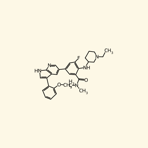 CCN1CCCC(Nc2c(F)cc(-c3cnc4[nH]cc(-c5ccccc5OC)c4c3)cc2C(=O)N(C)C)C1